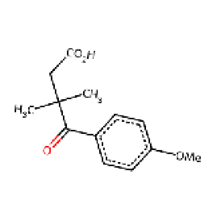 COc1ccc(C(=O)C(C)(C)CC(=O)O)cc1